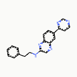 c1ccc(CCNc2cnc3cc(-c4ccncn4)ccc3n2)cc1